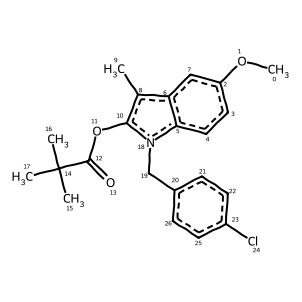 COc1ccc2c(c1)c(C)c(OC(=O)C(C)(C)C)n2Cc1ccc(Cl)cc1